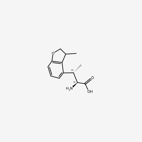 CC1COc2cccc([C@H](C)[C@H](N)C(=O)O)c21